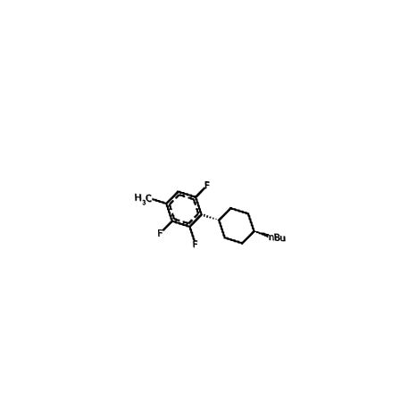 CCCC[C@H]1CC[C@H](c2c(F)cc(C)c(F)c2F)CC1